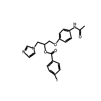 CC(=O)Nc1ccc(OCC(Cn2ccnc2)OC(=O)c2ccc(I)cc2)cc1